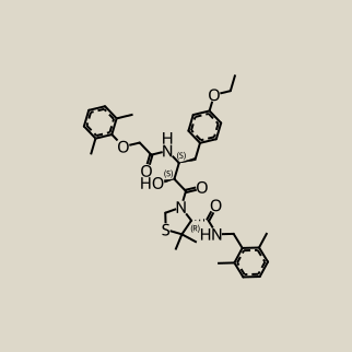 CCOc1ccc(C[C@H](NC(=O)COc2c(C)cccc2C)[C@H](O)C(=O)N2CSC(C)(C)[C@H]2C(=O)NCc2c(C)cccc2C)cc1